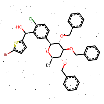 CC[C@H]1O[C@@H](c2ccc(Cl)c(C(O)c3ccc(Br)s3)c2)[C@H](OCc2ccccc2)[C@@H](OCc2ccccc2)[C@@H]1OCc1ccccc1